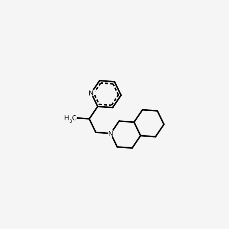 CC(CN1CCC2CCCCC2C1)c1ccccn1